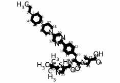 CCC[C@H]1CC[C@H](C2CCN(c3cnc(-c4ccc(C[C@H](NC(=O)c5cnc(C(C)(C)C)s5)C(=O)N5CC(C(=O)O)C5)cc4)nc3)CC2)CC1